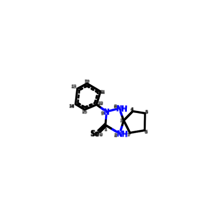 [Se]=C1NC2(CCCC2)NN1c1ccccc1